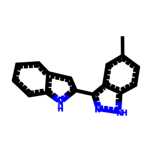 Cc1ccc2[nH]nc(-c3cc4ccccc4[nH]3)c2c1